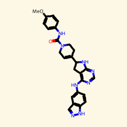 COc1ccc(NC(=O)N2CC=C(C3Cc4c(Nc5ccc6[nH]ncc6c5)ncnc4N3)CC2)cc1